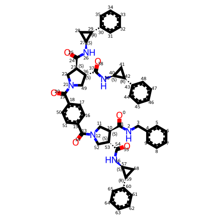 O=C(NCc1ccccc1)[C@@H]1CN(C(=O)c2ccc(C(=O)N3C[C@@H](C(=O)N[C@H]4C[C@@H]4c4ccccc4)[C@H](C(=O)N[C@H]4C[C@@H]4c4ccccc4)C3)cc2)C[C@H]1C(=O)N[C@H]1C[C@@H]1c1ccccc1